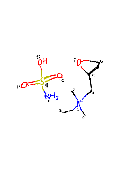 C[N+](C)(C)CC1CO1.NS(=O)(=O)O